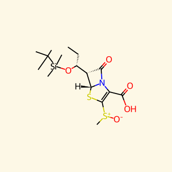 CC[C@@H](O[Si](C)(C)C(C)(C)C)[C@@H]1C(=O)N2C(C(=O)O)=C([S+](C)[O-])S[C@H]12